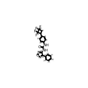 O=C(Nc1ccc(C2CC(F)(F)C2(F)F)cc1)Nc1nonc1-c1ccccc1